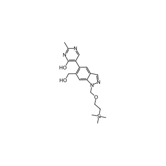 Cc1ncc(-c2cc3cnn(COCC[Si](C)(C)C)c3cc2CO)c(O)n1